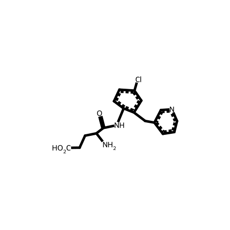 NC(CCC(=O)O)C(=O)Nc1ccc(Cl)cc1Cc1cccnc1